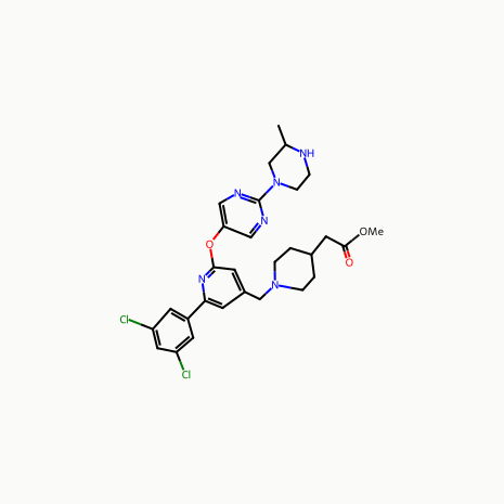 COC(=O)CC1CCN(Cc2cc(Oc3cnc(N4CCNC(C)C4)nc3)nc(-c3cc(Cl)cc(Cl)c3)c2)CC1